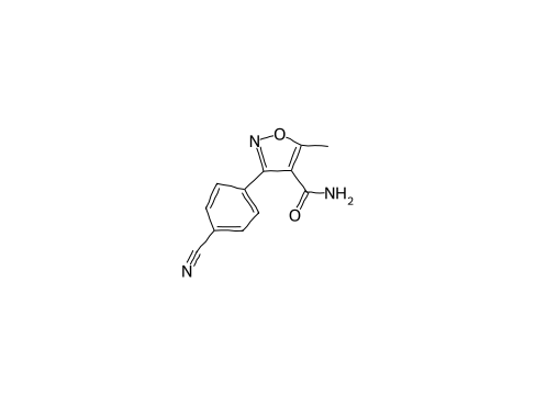 Cc1onc(-c2ccc(C#N)cc2)c1C(N)=O